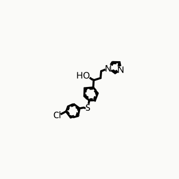 OC(CCn1ccnc1)c1ccc(Sc2ccc(Cl)cc2)cc1